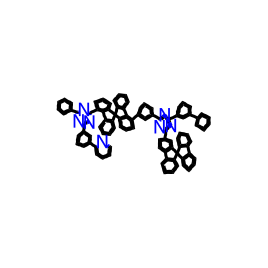 c1ccc(-c2cccc(-c3nc(-c4cccc(-c5cccc6c5-c5ccccc5C65c6ccccc6-c6c(-c7nc(-c8ccccc8)nc(-c8cccc(-c9ccccn9)c8)n7)cccc65)c4)nc(-c4ccc5c(c4)C4(c6ccccc6-c6ccccc64)c4ccccc4-5)n3)c2)cc1